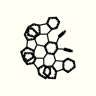 N#Cc1c(C#N)c(C2c3ccccc3-c3ccccc32)c(C2c3ccccc3-c3ccccc32)c(C2c3ccccc3-c3ccccc32)c1C1c2ccccc2-c2ccccc21